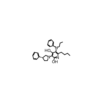 CCCCc1nc(O)c(N2CC[C@@H](c3ccccc3)C2)c(O)c1N(CCC)c1ccccc1